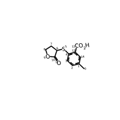 Cc1ccc(SC2CCOC2=O)c(C(=O)O)c1